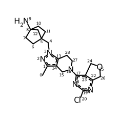 Cc1nn(CC23CCC(N)(CC2)C3)c2c1CN(c1nc(Cl)nc3c1COC3)CC2